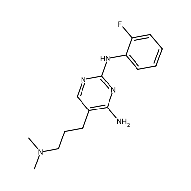 CN(C)CCCc1cnc(Nc2ccccc2F)nc1N